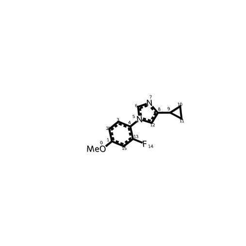 COc1[c]cc(-n2cnc(C3CC3)c2)c(F)c1